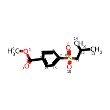 COC(=O)c1ccc(S(=O)(=O)CC(C)C)cc1